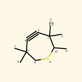 CCC1(C)C#CC(C)(C)CSC1C